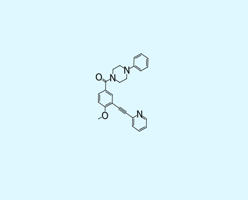 COc1ccc(C(=O)N2CCN(c3ccccc3)CC2)cc1C#Cc1ccccn1